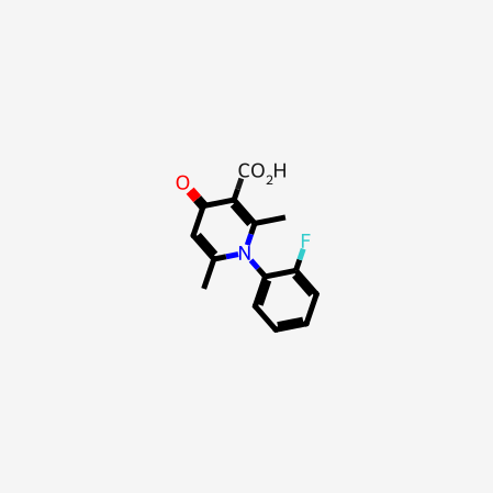 Cc1cc(=O)c(C(=O)O)c(C)n1-c1ccccc1F